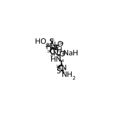 Nc1nc(CNC(=O)N2CC[C@@H]3[C@H]2C(=O)N3S(=O)(=O)O)cs1.[NaH]